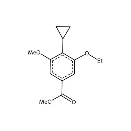 CCOc1cc(C(=O)OC)cc(OC)c1C1CC1